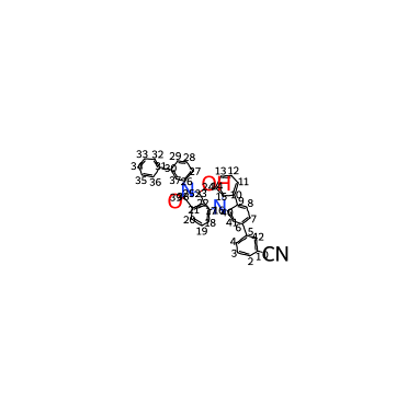 N#Cc1cccc(-c2ccc3c4ccccc4n(-c4cccc5c4C(O)N(c4cccc(-c6ccccc6)c4)C5=O)c3c2)c1